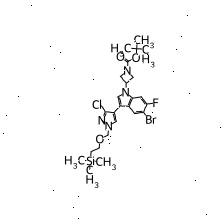 CC(C)(C)OC(=O)N1CC(n2cc(-c3cn(COCC[Si](C)(C)C)nc3Cl)c3cc(Br)c(F)cc32)C1